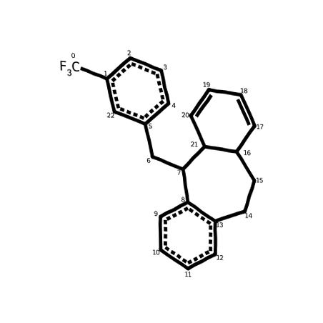 FC(F)(F)c1cccc(CC2c3ccccc3CCC3C=CC=CC32)c1